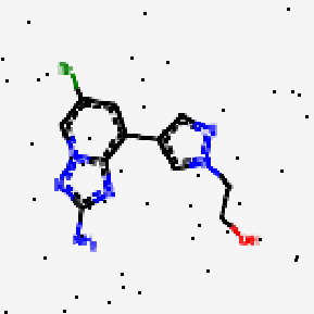 Nc1nc2c(-c3cnn(CCO)c3)cc(Br)cn2n1